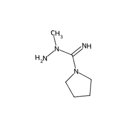 CN(N)C(=N)N1CCCC1